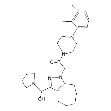 Cc1cccc(N2CCN(C(=O)Cn3nc(C(O)N4CCCC4)c4c3CCCCC4)CC2)c1C